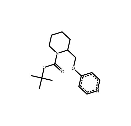 CC(C)(C)OC(=O)N1CCCCC1COc1ccncc1